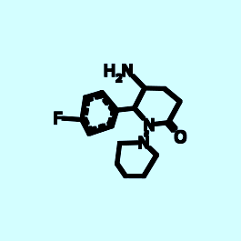 NC1CCC(=O)N(N2CCCCC2)C1c1ccc(F)cc1